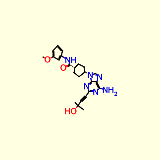 COc1cccc(NC(=O)[C@H]2CC[C@@H](n3cnc4c(N)nc(C#CC(C)(C)O)nc43)CC2)c1